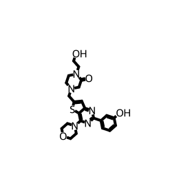 O=C1CN(Cc2cc3nc(-c4cccc(O)c4)nc(N4CCOCC4)c3s2)CCN1CCO